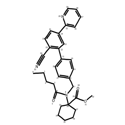 CCCCC(=O)N(Cc1ccc(-c2cc(-c3ccccn3)ccc2C#N)cc1)C1(C(=O)OC)CCCCC1